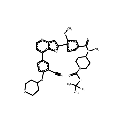 COc1cc(C(=O)N(C)C2CCN(C(=O)OC(C)(C)C)CC2)ccc1-c1cc2nccc(-c3ccc(OC4CCOCC4)c(C#N)c3)c2o1